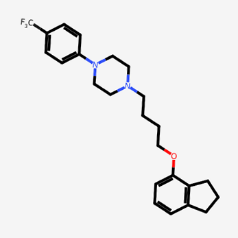 FC(F)(F)c1ccc(N2CCN(CCCCOc3cccc4c3CCC4)CC2)cc1